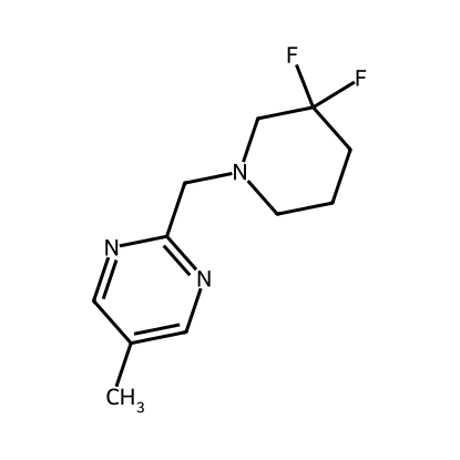 Cc1cnc(CN2CCCC(F)(F)C2)nc1